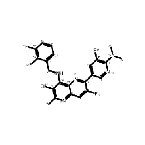 Cc1nc2cc(F)c(-c3cnc(P(C)C)c(F)c3)nc2c(NCc2cccc(F)c2F)c1Cl